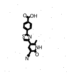 Cc1[nH]c(=O)c(C#N)cc1-c1csc(-c2ccc(C(=O)O)cc2)n1